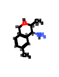 Cc1ccc2c(c1)[C@@H](N)C(C)OC2